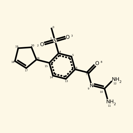 CS(=O)(=O)c1cc(C(=O)N=C(N)N)ccc1C1C=CCC1